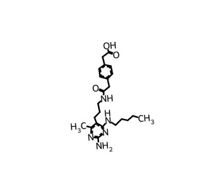 CCCCCNc1nc(N)nc(C)c1CCCNC(=O)Cc1ccc(CC(=O)O)cc1